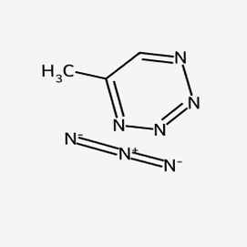 Cc1cnnnn1.[N-]=[N+]=[N-]